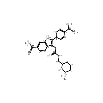 Cl.Cl.N=C(N)c1ccc(-c2[nH]c3cc(C(=N)N)ccc3c2CC(=O)OCC2CCCCO2)cc1